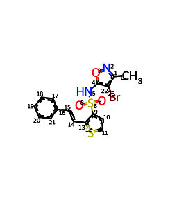 Cc1noc(NS(=O)(=O)c2ccsc2C=Cc2ccccc2)c1Br